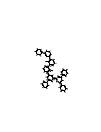 Cc1c(-c2cccc(-c3ccccc3)c2)cccc1-c1cccc(-c2cc(-c3ccccc3)cc(-c3nc(-c4ccccc4)nc(-c4ccccc4)n3)c2)c1C